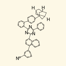 N#Cc1cccc(-c2ccc(-c3nc(-c4ccccc4)nc(-c4ccccc4-c4ccc(C56C[C@H]7C[C@@H](C5)C[C@@H](C6)C7)cc4)n3)c3ccccc23)c1